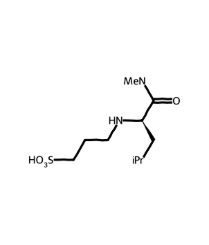 CNC(=O)[C@@H](CC(C)C)NCCCS(=O)(=O)O